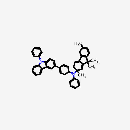 CC1C=CC2=C(C1)C1=CCC(C)(N(c3ccccc3)C3C=CC(c4ccc5c(c4)c4ccccc4n5-c4ccccc4)=CC3)C=C1C2(C)C